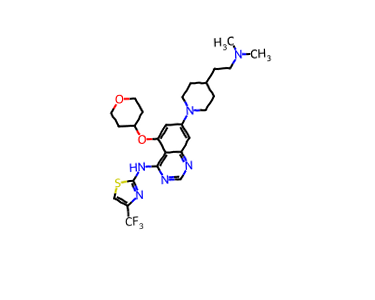 CN(C)CCC1CCN(c2cc(OC3CCOCC3)c3c(Nc4nc(C(F)(F)F)cs4)ncnc3c2)CC1